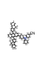 CC1(C)c2ccccc2-c2ccc(-c3c4ccccc4c(-c4ccc5c(c4)C(C)(C)c4ccccc4-5)c4cc(-c5ccc(N(c6ccccc6)c6ccc(C#N)cc6)cc5)ccc34)cc21